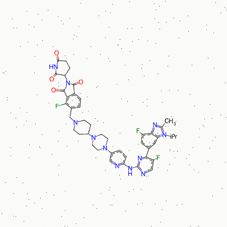 Cc1nc2c(F)cc(-c3nc(Nc4ccc(N5CCN(C6CCN(Cc7ccc8c(c7F)C(=O)N(C7CCC(=O)NC7=O)C8=O)CC6)CC5)cn4)ncc3F)cc2n1C(C)C